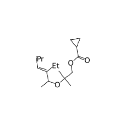 CC/C(=C\C(C)C)C(C)OC(C)(C)COC(=O)C1CC1